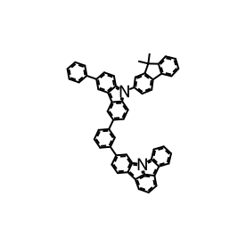 CC1(C)c2ccccc2-c2ccc(-n3c4ccc(-c5ccccc5)cc4c4cc(-c5cccc(-c6ccc7c8cccc9c%10ccccc%10n(c7c6)c98)c5)ccc43)cc21